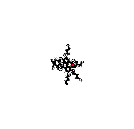 CCCCOc1cc(C(=O)OC)c(-c2c(C(=O)OC)cc(OCCCC)c(OCCCC)c2OCCCC)c(OCCCC)c1OCCCC